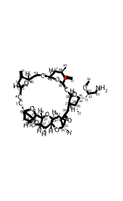 C=C1C[C@@H]2CC[C@@]34C[C@H]5O[C@H]6[C@@H](O3)[C@H]3O[C@H](CC[C@@H]3O[C@H]6[C@H]5O4)CC(=O)C[C@@H]3[C@@H](C)[C@@H](C[C@@H](CN)OC)O[C@H]3C[C@H]3O[C@@H](CC[C@@H]1O2)C[C@@H](C)C3=C